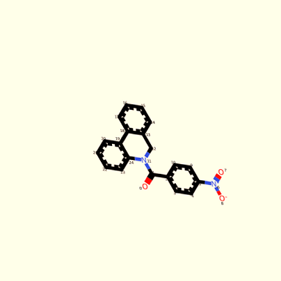 O=C(c1ccc([N+](=O)[O-])cc1)N1Cc2ccccc2-c2ccccc21